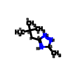 CC1N=NC(CC(C)(C)C)=N1